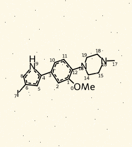 COc1cc(-c2cc(I)c[nH]2)ccc1N1CCN(C)CC1